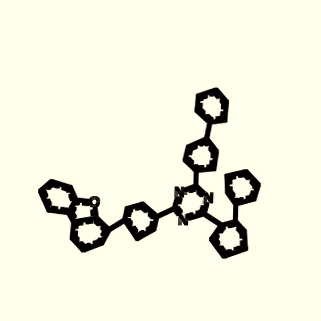 c1ccc(-c2ccc(-c3nc(-c4ccc(-c5cccc6c5oc5ccccc56)cc4)nc(-c4ccccc4-c4ccccc4)n3)cc2)cc1